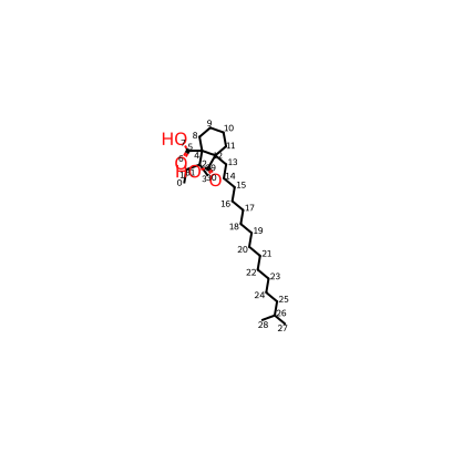 CCC(C)C1(C(=O)O)CCCCC1(CCCCCCCCCCCCCC(C)C)C(=O)O